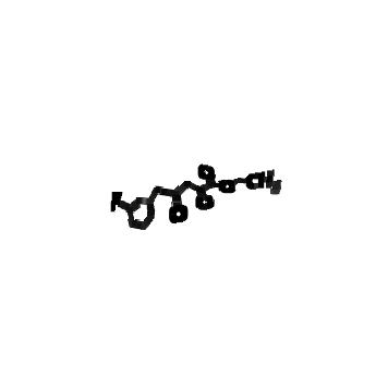 CCOC(=O)C(=O)CC(=O)Cc1cccc(F)c1